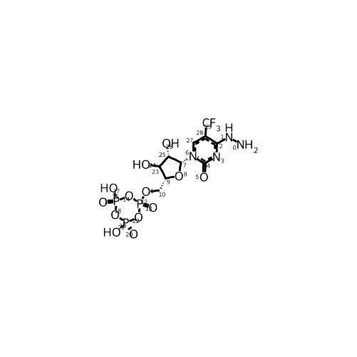 NNc1nc(=O)n([C@@H]2O[C@H](COP3(=O)OP(=O)(O)OP(=O)(O)O3)C(O)[C@@H]2O)cc1C(F)(F)F